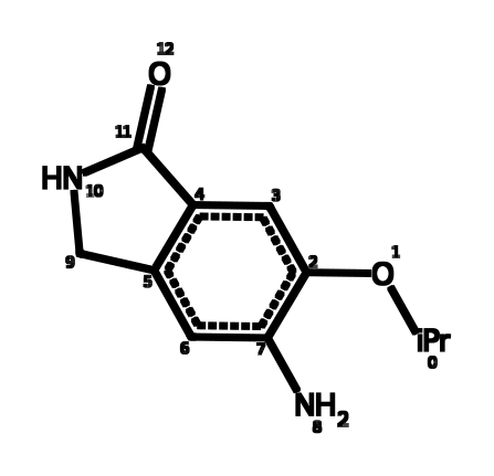 CC(C)Oc1cc2c(cc1N)CNC2=O